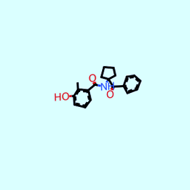 Cc1c(O)cccc1C(=O)NC1(C(=O)c2ccccc2)CCCC1